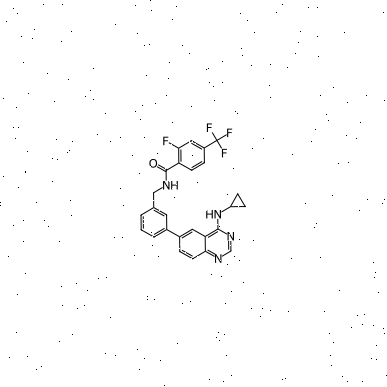 O=C(NCc1cccc(-c2ccc3ncnc(NC4CC4)c3c2)c1)c1ccc(C(F)(F)F)cc1F